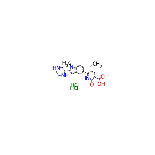 CCc1cc(C(=O)O)c(=O)[nH]c1-c1ccc2c(c1)cc(C1CNCCN1)n2C.Cl.Cl